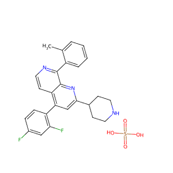 Cc1ccccc1-c1nccc2c(-c3ccc(F)cc3F)cc(C3CCNCC3)nc12.O=S(=O)(O)O